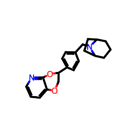 c1cnc2c(c1)OCC(c1ccc(CN3C4CCCC3CC4)cc1)O2